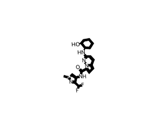 Cn1cc(NC(=O)c2ccc3ccc(N[C@@H]4CCCC[C@@H]4O)nn23)c(C(F)F)n1